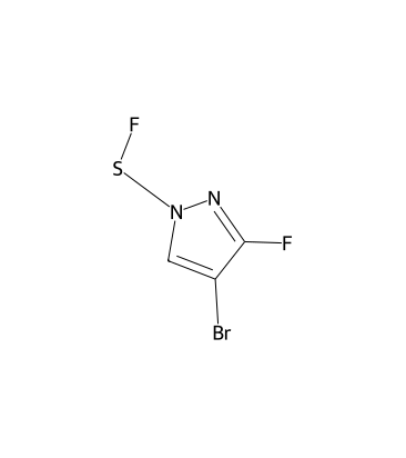 FSn1cc(Br)c(F)n1